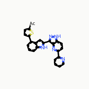 CC(=O)c1ccc(-c2cccc3[nH]c(-c4n[nH]c5ccc(-c6ccccn6)nc45)cc23)s1